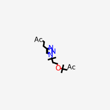 CC(=O)CCc1cn(C(C)(C)CCOC(C)(C)CC(C)=O)nn1